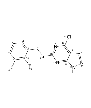 Fc1cccc(CSc2nc(Cl)c3cn[nH]c3n2)c1F